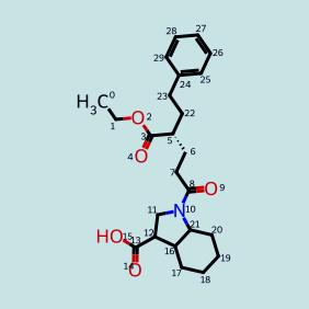 CCOC(=O)[C@@H](CCC(=O)N1CC(C(=O)O)C2CCCCC21)CCc1ccccc1